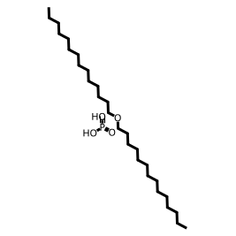 CCCCCCCCCCCCCCOCCCCCCCCCCCCCC.O=[PH](O)O